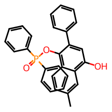 Cc1ccc2c(OP(=O)(c3ccccc3)c3ccccc3)c(-c3ccccc3)cc(O)c2c1